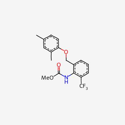 COC(=O)Nc1c(COc2ccc(C)cc2C)cccc1C(F)(F)F